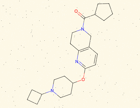 O=C(C1CCCC1)N1CCc2nc(OC3CCN(C4CCC4)CC3)ccc2C1